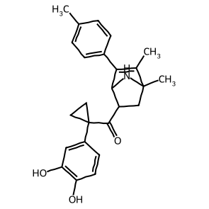 CC1=C(c2ccc(C)cc2)C2NC1(C)CC2C(=O)C1(c2ccc(O)c(O)c2)CC1